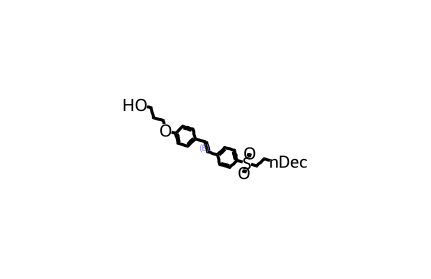 CCCCCCCCCCCCS(=O)(=O)c1ccc(/C=C/c2ccc(OCCCO)cc2)cc1